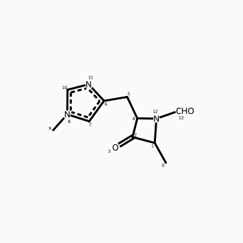 CC1C(=O)C(Cc2cn(C)cn2)N1C=O